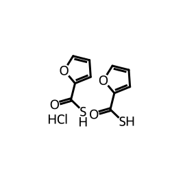 Cl.O=C(S)c1ccco1.O=C(S)c1ccco1